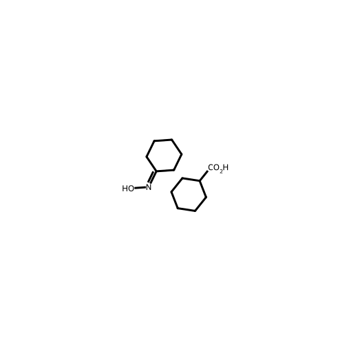 O=C(O)C1CCCCC1.ON=C1CCCCC1